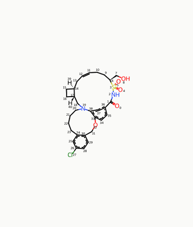 O=C1NS(=O)(=O)[C@H](CO)CC/C=C\C[C@@H]2CC[C@H]2CN2CCCCc3cc(Cl)ccc3COc3ccc1cc32